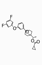 C[C@@H](OC(=O)C1CC1)C12CCC(c3cccc(Oc4cc(F)cc(F)c4)c3)(CC1)OC2